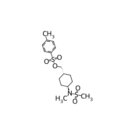 Cc1ccc(S(=O)(=O)OC[C@H]2CC[C@H](N(C)S(C)(=O)=O)CC2)cc1